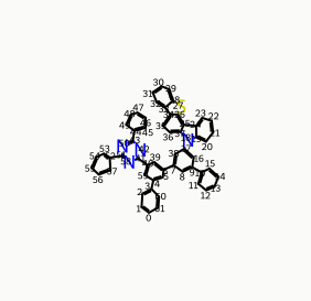 c1ccc(-c2cc(-c3cc(-c4ccccc4)cc(-n4c5ccccc5c5c6sc7ccccc7c6ccc54)c3)cc(-c3nc(-c4ccccc4)nc(-c4ccccc4)n3)c2)cc1